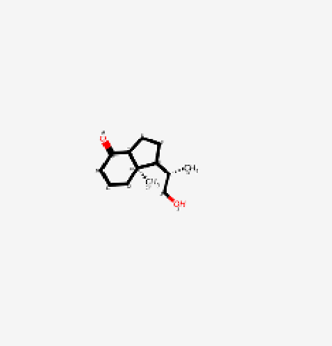 C[C@H](CO)C1CCC2C(=O)CCC[C@@]21C